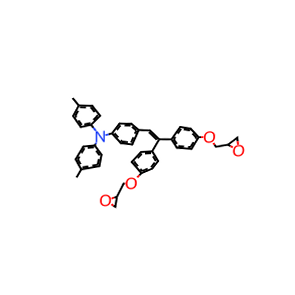 Cc1ccc(N(c2ccc(C)cc2)c2ccc(C=C(c3ccc(OCC4CO4)cc3)c3ccc(OCC4CO4)cc3)cc2)cc1